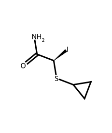 NC(=O)[C@@H](I)SC1CC1